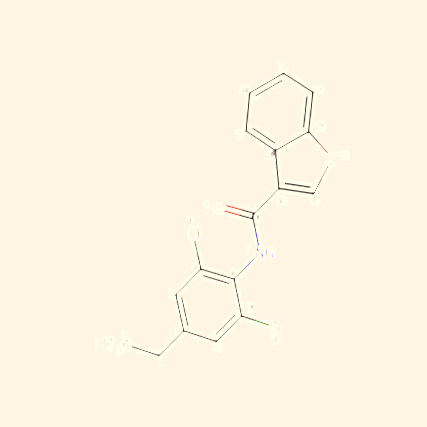 O=C(O)Cc1cc(Cl)c(NC(=O)c2csc3ccccc23)c(Cl)c1